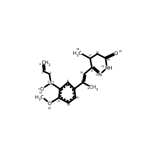 C=CC[S+]([O-])c1cc(C(C)=CC2=NNC(=O)CC2C)ccc1OC